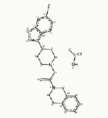 CCO.Cl.O=C(CN1CCC(c2noc3cc(F)ccc23)CC1)N1CCc2ccccc2C1